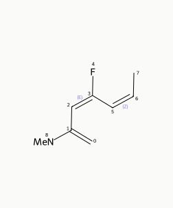 C=C(/C=C(F)\C=C/C)NC